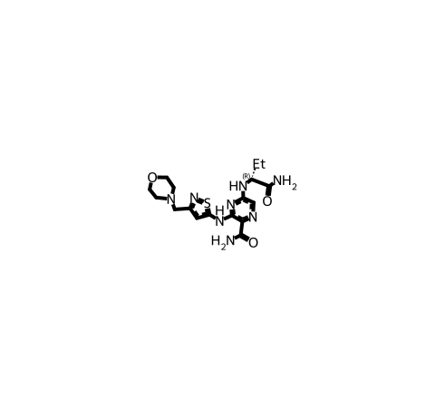 CC[C@@H](Nc1cnc(C(N)=O)c(Nc2cc(CN3CCOCC3)ns2)n1)C(N)=O